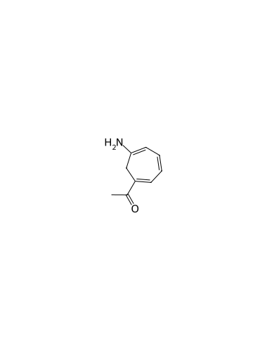 CC(=O)C1=CC=CC=C(N)C1